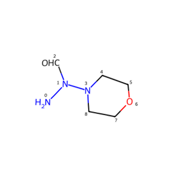 NN(C=O)N1CCOCC1